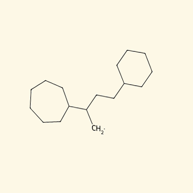 [CH2]C(CCC1CCCCC1)C1CCCCCC1